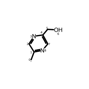 [CH2]c1cnc(CO)cn1